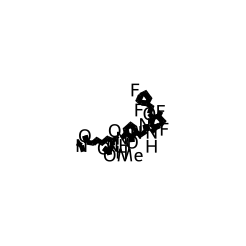 COC(=O)NC(CCC=CC(=O)N(C)C)C(=O)Nc1cccn(Cc2nc3c(OCc4ccc(F)cc4F)c(F)cc(F)c3[nH]2)c1=O